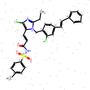 CCc1nc(Cl)c(/C=C/C(=O)NS(=O)(=O)c2ccc(C)cc2)n1Cc1ccc(/C=C/c2ccccc2)cc1Cl